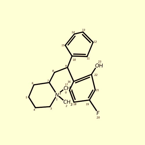 C[N+]1(C)CCCCC1CC(c1ccccc1)c1ccc(F)cc1O